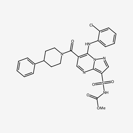 COC(=O)NS(=O)(=O)c1cnn2c(Nc3ccccc3Cl)c(C(=O)N3CCC(c4ccccc4)CC3)cnc12